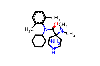 Cc1cccc(C)c1N(C(=O)C1(N(C)C)CCNCC1)[C@@H]1CCCC[C@H]1N